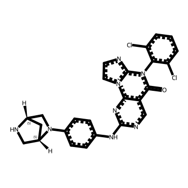 O=c1c2cnc(Nc3ccc(N4C[C@@H]5C[C@H]4CN5)cc3)nc2n2ccnc2n1-c1c(Cl)cccc1Cl